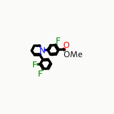 COC(=O)c1ccc(N2CCCC=C2c2cccc(F)c2F)cc1F